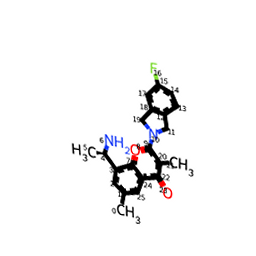 Cc1cc([C@@H](C)N)c2oc(N3Cc4ccc(F)cc4C3)c(C)c(=O)c2c1